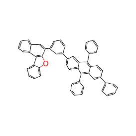 c1ccc(-c2ccc3c(-c4ccccc4)c4cc(-c5cccc(-c6cc7ccccc7c7c6oc6ccccc67)c5)ccc4c(-c4ccccc4)c3c2)cc1